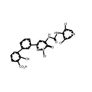 CCn1nc(-c2cccc(-c3cccc(C(=O)O)c3C#N)c2)cc(NC(=O)Nc2c(Cl)cncc2Cl)c1=O